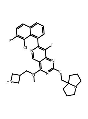 CN(CC1CNC1)c1nc(OCC23CCCN2CCC3)nc2c(F)c(-c3cccc4ccc(F)c(Cl)c34)ncc12